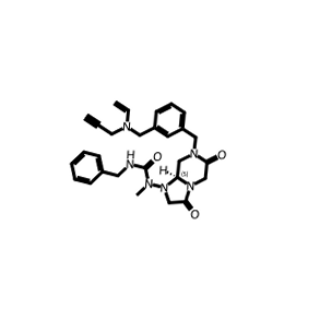 C#CCN(C=C)Cc1cccc(CN2C[C@H]3N(CC2=O)C(=O)CN3N(C)C(=O)NCc2ccccc2)c1